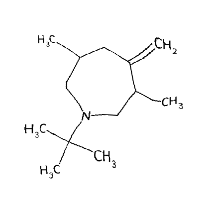 C=C1CC(C)CN(C(C)(C)C)CC1C